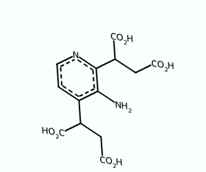 Nc1c(C(CC(=O)O)C(=O)O)ccnc1C(CC(=O)O)C(=O)O